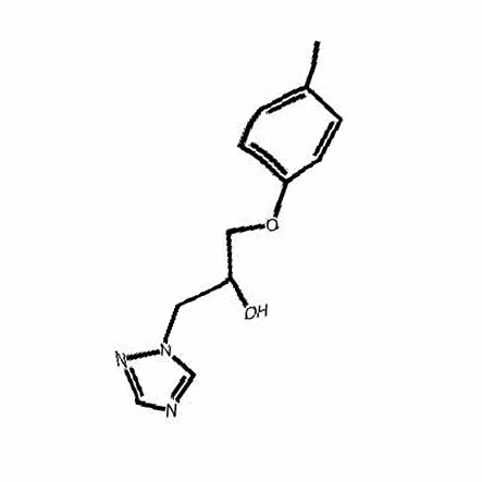 Cc1ccc(OCC(O)Cn2cncn2)cc1